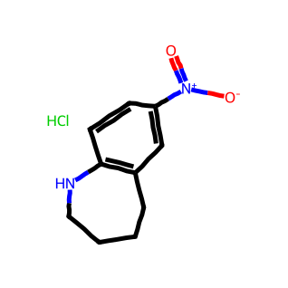 Cl.O=[N+]([O-])c1ccc2c(c1)CCCCN2